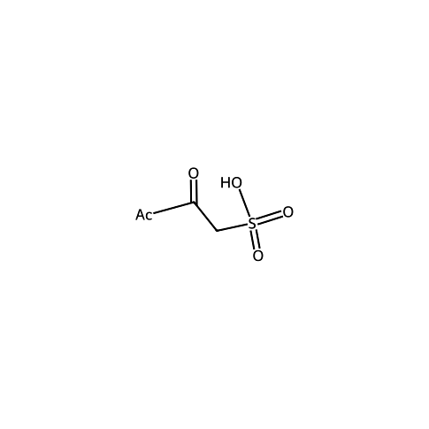 CC(=O)C(=O)CS(=O)(=O)O